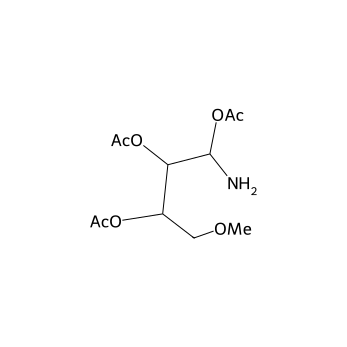 COCC(OC(C)=O)C(OC(C)=O)C(N)OC(C)=O